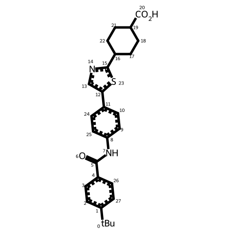 CC(C)(C)c1ccc(C(=O)Nc2ccc(-c3cnc(C4CCC(C(=O)O)CC4)s3)cc2)cc1